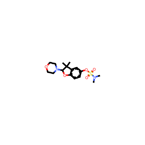 CN(C)S(=O)(=O)Oc1ccc2c(c1)C(C)(C)C(N1CCOCC1)O2